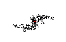 COC(=O)c1ccc(C(=O)N2C[C@@H]3C[C@H]2CN3[C@@H](C)c2ccc(OC)c(C)c2C)nc1